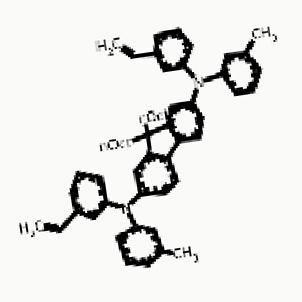 C=Cc1cccc(N(c2cccc(C)c2)c2ccc3c(c2)C(CCCCCCCC)(CCCCCCCC)c2cc(N(c4cccc(C)c4)c4cccc(C=C)c4)ccc2-3)c1